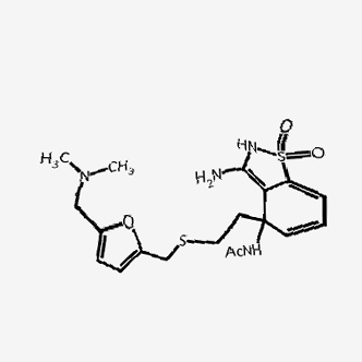 CC(=O)NC1(CCSCc2ccc(CN(C)C)o2)C=CC=C2C1=C(N)NS2(=O)=O